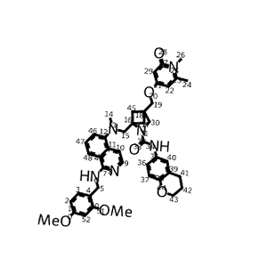 COc1ccc(CNc2nccc3c(N(C)CC45CC(COc6cc(C)n(C)c(=O)c6)(CN4C(=O)Nc4ccc6c(c4)CCCO6)C5)cccc23)c(OC)c1